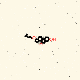 CC(C)CCCOC1CC[C@H]2[C@@H]3C(=O)C=C4CC(O)CC[C@]4(C)[C@@H]3CC[C@]12C